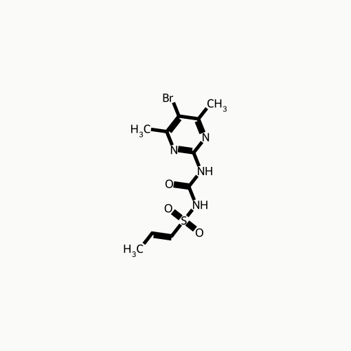 CC=CS(=O)(=O)NC(=O)Nc1nc(C)c(Br)c(C)n1